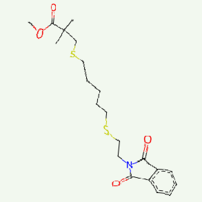 COC(=O)C(C)(C)CSCCCCCSCCN1C(=O)c2ccccc2C1=O